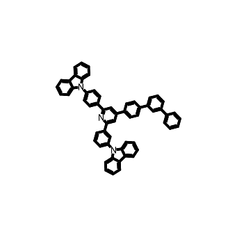 c1ccc(-c2cccc(-c3ccc(-c4cc(-c5ccc(-n6c7ccccc7c7ccccc76)cc5)nc(-c5cccc(-n6c7ccccc7c7ccccc76)c5)c4)cc3)c2)cc1